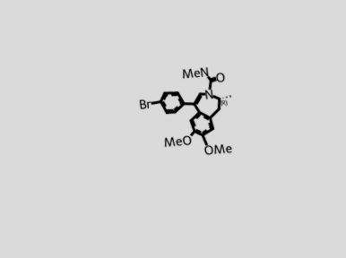 CNC(=O)N1C=C(c2ccc(Br)cc2)c2cc(OC)c(OC)cc2C[C@H]1C